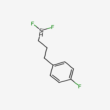 Fc1ccc(CCC[SiH](F)F)cc1